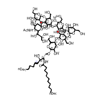 CCCCCCCCCCCCC/C=C/[C@@H](O)[C@H](CO[C@@H]1OC(CO)[C@@H](O[C@@H]2OC(CO)[C@H](O[C@@H]3OC(CO)[C@H](O)[C@H](O)C3NC(C)=O)[C@H](O[C@@H]3OC(CO)[C@@H](O)[C@H](O[C@@H]4OC(CO)[C@H](O[C@@H]5OC(CO)[C@H](O)[C@H](O)C5NC(C)=O)[C@H](O[C@]5(C(=O)O)CC(O)[C@@H](NC(C)=O)C([C@H](O)[C@H](O)CO)O5)C4O)C3NC(C)=O)C2O)[C@H](O)C1O)NC(=O)CCCCCCCCCCCCCCCCCCC